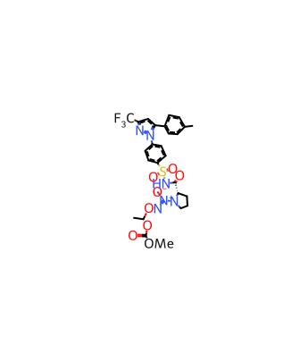 COC(=O)OC(C)O/N=[N+](\[O-])N1CCC[C@H]1C(=O)NS(=O)(=O)c1ccc(-n2nc(C(F)(F)F)cc2-c2ccc(C)cc2)cc1